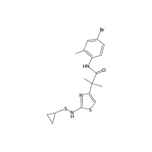 Cc1cc(Br)ccc1NC(=O)C(C)(C)c1csc(NSC2CC2)n1